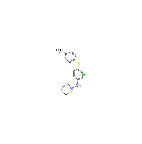 Cc1ccc(Sc2ccc(NN3C=CCCS3)cc2)cc1.Cl